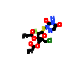 CC(C)C(=O)OC1[C@@]2(CCl)OC(Sn3ncc(=O)[nH]c3=O)[C@H](F)[C@@]12OC(=O)C(C)C